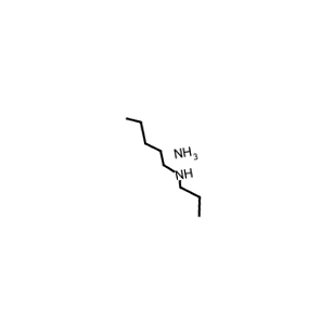 CCCCCNCCC.N